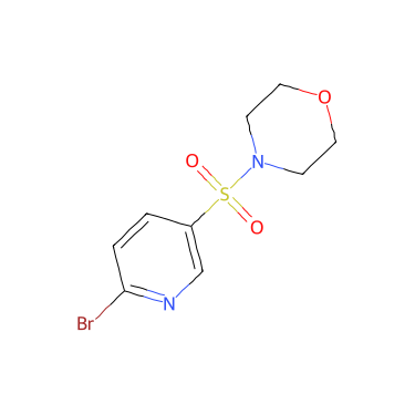 O=S(=O)(c1ccc(Br)nc1)N1CCOCC1